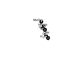 COc1cc(Nc2[nH]nc(-c3ccc(NC(=O)N(C)Cc4ccccc4)cc3)c2C(N)=O)ccn1